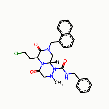 CN1CC(=O)N2[C@@H](CCCl)C(=O)N(Cc3cccc4ccccc34)C[C@@H]2N1C(=O)NCc1ccccc1